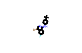 CC(C)(C)c1ccc(Nc2ncc(Br)c3cc(F)ccc23)cc1